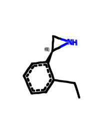 CCc1ccccc1[C@H]1CN1